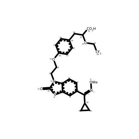 CO/N=C(\c1ccc2c(c1)sc(=O)n2CCOc1ccc(CC(OCC(F)(F)F)C(=O)O)cc1)C1CC1